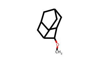 COC1C2CC3CC(C2)CC1C3